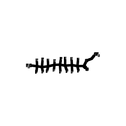 O=C(OCC(F)(F)F)C(F)(F)C(F)(F)C(F)(F)C(F)(F)C(F)(F)C(F)(F)C(F)(F)C(F)(F)C(F)(F)F